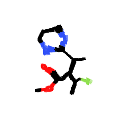 C=C(F)/C(C(=O)OC)=C(\C)c1ncccn1